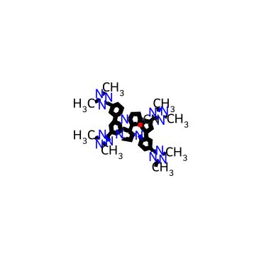 Cc1nc(C)nc(-c2ccc3c(c2)c2cc(-c4nc(C)nc(C)n4)ccc2n3-c2ccncc2-c2cc(C#N)ccc2-n2c3ccc(-c4nc(C)nc(C)n4)cc3c3cc(-c4nc(C)nc(C)n4)ccc32)n1